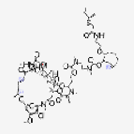 C=C(CC)SCC(=O)NCCOC1CCCC/C=C/C1OC(=O)N(C)CCN(C)C(=O)OCCC(=O)N(C)[C@@H](C)C(=O)O[C@H]1CC(=O)N(C)c2cc(cc(OC)c2Cl)C/C(C)=C/C=C/[C@@H](OC)[C@@]2(O)C[C@H](OC(=O)N2)[C@@H](C)[C@@H]2O[C@@]12C